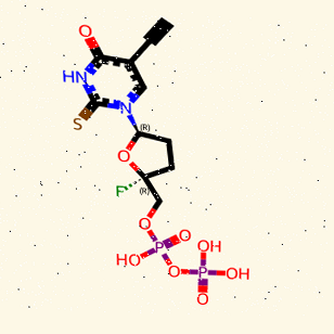 C#Cc1cn([C@H]2CC[C@@](F)(COP(=O)(O)OP(=O)(O)O)O2)c(=S)[nH]c1=O